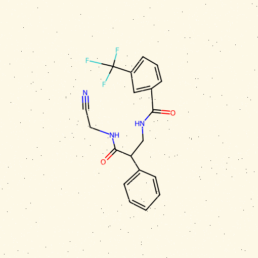 N#CCNC(=O)C(CNC(=O)c1cccc(C(F)(F)F)c1)c1ccccc1